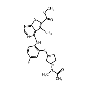 COC(=O)c1sc2ncnc(Nc3ccc(F)cc3O[C@H]3CC[C@H](N(C)C(C)=O)C3)c2c1C